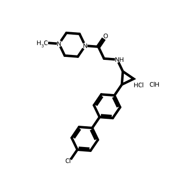 CN1CCN(C(=O)CNC2CC2c2ccc(-c3ccc(Cl)cc3)cc2)CC1.Cl.Cl